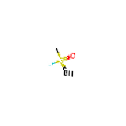 B=S(C)(=O)F